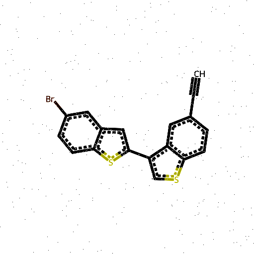 C#Cc1ccc2s[c]c(-c3cc4cc(Br)ccc4s3)c2c1